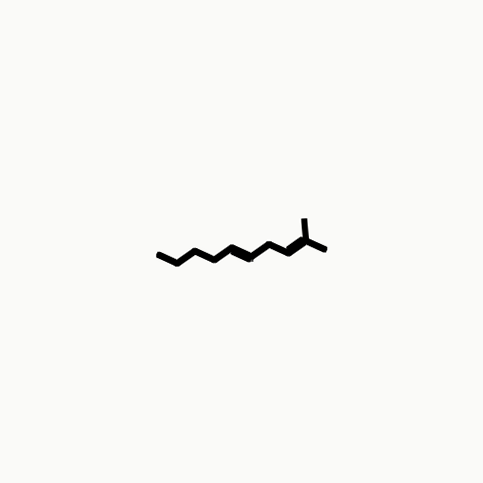 CCCC/C=[C]/CC=C(C)C